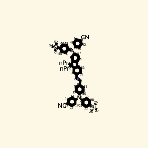 CCCC1(CCC)c2cc(/C=C/c3ccc(N(c4ccc(C#N)cc4)c4ccc([Si](C)(C)C)cc4)cc3)ccc2-c2ccc(N(c3ccc(C#N)cc3)c3ccc([Si](C)(C)C)cc3)cc21